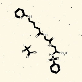 O=C(CCCCNc1ccccn1)NCC(=O)NCC(NS(=O)(=O)c1ccccc1)C(=O)O.O=C(O)C(F)(F)F